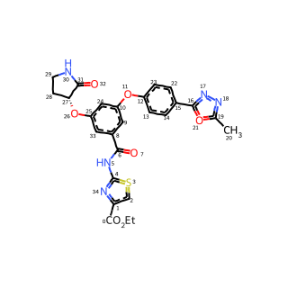 CCOC(=O)c1csc(NC(=O)c2cc(Oc3ccc(-c4nnc(C)o4)cc3)cc(O[C@@H]3CCNC3=O)c2)n1